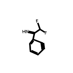 N=C(c1c#cccc1)C(F)F